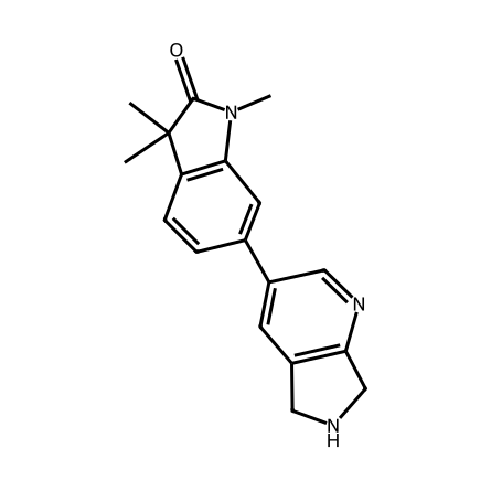 CN1C(=O)C(C)(C)c2ccc(-c3cnc4c(c3)CNC4)cc21